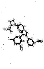 Cc1cc(-c2c(-c3cccc(C#N)c3)nn3ccc(N4CCC4C(=O)O)nc23)cc(Cl)n1